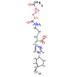 CC(=O)OCOC(=O)NCCCC(Cc1cn([C@H]2CC[C@H](C)CC2)cn1)C(=O)O